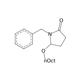 CCCCCCCCOC1CCC(=O)N1Cc1ccccc1